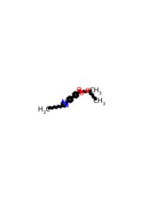 CCCCCCCc1cnc(-c2ccc(-c3ccc(C(=O)OCCO[C@@H](C)CCCCC)cc3)cc2)nc1